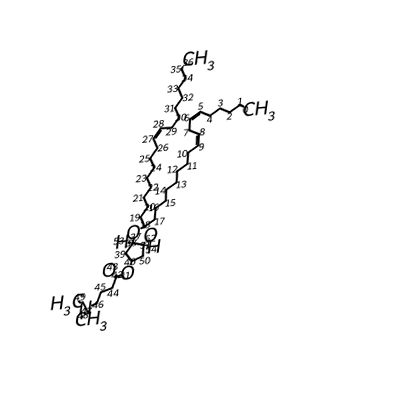 CCCCC/C=C\C/C=C\CCCCCCCCC1(CCCCCCCC/C=C\CCCCCCCC)O[C@H]2C[C@H](OC(=O)CCCN(C)C)C[C@H]2O1